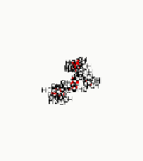 C=C1C[C@@]23CCC4[C@](C)(C(=O)OC5OC(CO)C(O)C(OC6OC(CO)C(O)C(O)C6O)C5OC5OC(CO)C(O)C(O)C5O)CCC[C@@]4(C)[C@@H]2CC[C@]1(OC1OC(COC2OC(CO)C(O)C(O)C2O)C(O)C(OC2OC(CO)C(O)C(O)C2O)C1OC1OC(CO)C(O)C(O)C1O)C3